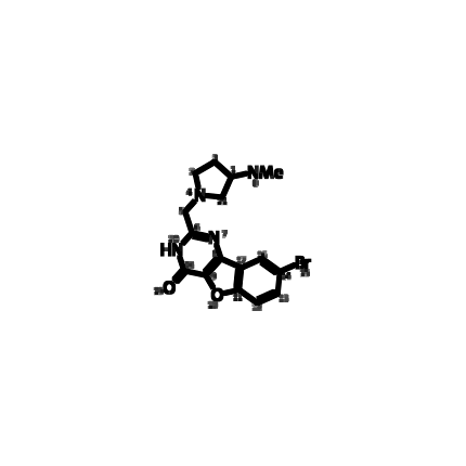 CNC1CCN(Cc2nc3c(oc4ccc(Br)cc43)c(=O)[nH]2)C1